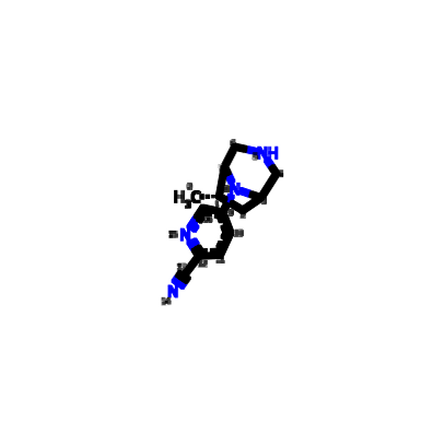 C[C@H]1CC2CNCC1N2c1ccc(C#N)nc1